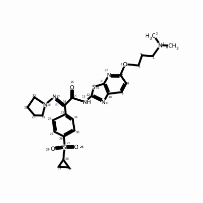 CN(C)CCCOc1ccc2nc(NC(=O)/C(=N/N3CCCC3)c3ccc(S(=O)(=O)C4CC4)cc3)sc2n1